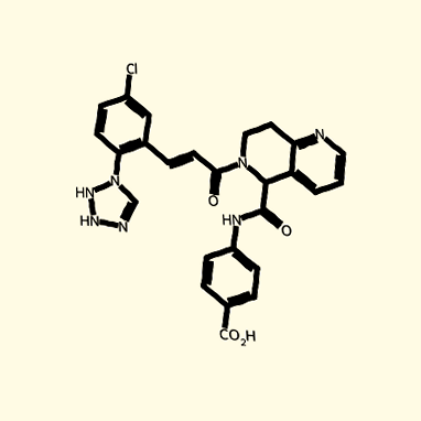 O=C(O)c1ccc(NC(=O)C2c3cccnc3CCN2C(=O)/C=C/c2cc(Cl)ccc2N2C=NNN2)cc1